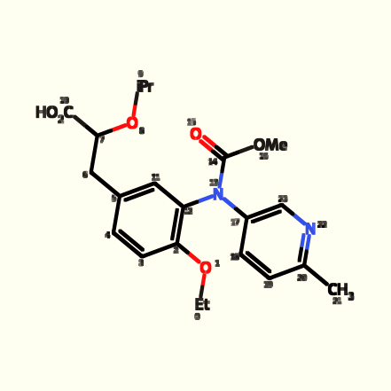 CCOc1ccc(CC(OC(C)C)C(=O)O)cc1N(C(=O)OC)c1ccc(C)nc1